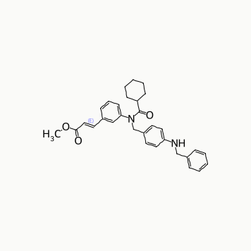 COC(=O)/C=C/c1cccc(N(Cc2ccc(NCc3ccccc3)cc2)C(=O)C2CCCCC2)c1